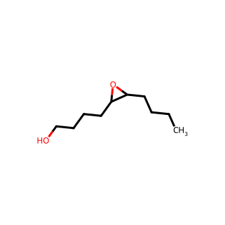 CCCCC1OC1CCCCO